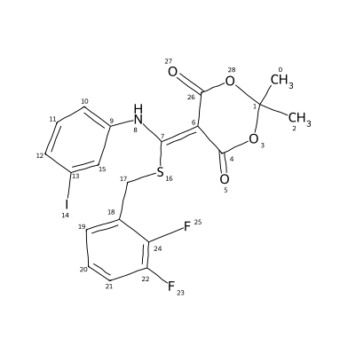 CC1(C)OC(=O)C(=C(Nc2cccc(I)c2)SCc2cccc(F)c2F)C(=O)O1